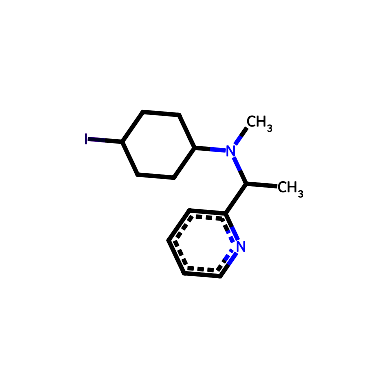 CC(c1ccccn1)N(C)C1CCC(I)CC1